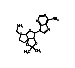 CC1(C)OC2C(n3cnc4c(N)ncnc43)OC3[C@H](CN)CCC23O1